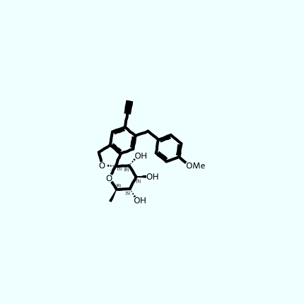 C#Cc1cc2c(cc1Cc1ccc(OC)cc1)[C@]1(OC2)O[C@H](C)[C@@H](O)[C@H](O)[C@H]1O